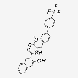 COC(=O)C(Cc1ccc(-c2ccc(C(F)(F)F)cc2)cc1)NC(=O)c1cc2ccccc2cc1O